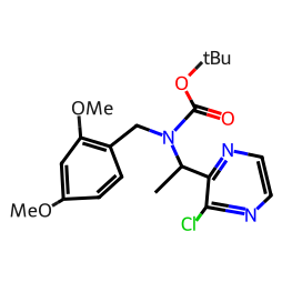 COc1ccc(CN(C(=O)OC(C)(C)C)C(C)c2nccnc2Cl)c(OC)c1